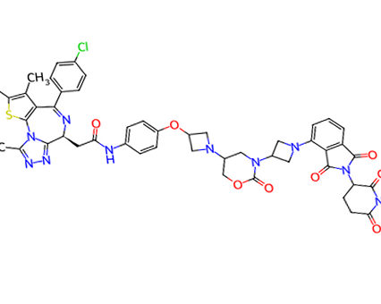 Cc1sc2c(c1C)C(c1ccc(Cl)cc1)=N[C@@H](CC(=O)Nc1ccc(OC3CN(C4COC(=O)N(C5CN(c6cccc7c6C(=O)N(C6CCC(=O)NC6=O)C7=O)C5)C4)C3)cc1)c1nnc(C)n1-2